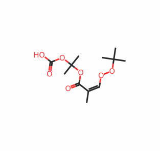 CC(=COOC(C)(C)C)C(=O)OC(C)(C)OC(=O)O